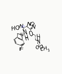 COC(=O)NCCOc1nonc1/C(=N/O)N[C@H]1Cc2ccc(F)cc21